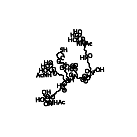 CC(=O)NC1C(OCCCCCC(=O)NCCCCCC(=O)N(CCO)CCOP(=O)(O)OCCN(CCOP(=O)(O)OCCN(CCOC2CCCC(S)CCC2)C(=O)CCCCCNC(=O)CCCCCOC2OC(CO)C(O)C(O)C2NC(C)=O)C(=O)CCCCCNC(=O)CCCCCOC2OC(CO)C(O)C(O)C2NC(C)=O)OC(CO)C(O)C1O